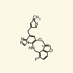 Cn1cc(Cc2cc3c(n4cnnc24)NCc2c(F)ccc4c2[C@@H](CO4)CO3)cn1